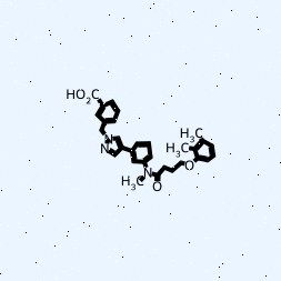 Cc1cccc(OCCCC(=O)N(C)c2cccc(-c3cnn(Cc4cccc(C(=O)O)c4)c3)c2)c1C